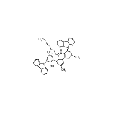 CCOCCCCOc1c(-c2cc(C)cc(-n3c4ccccc4c4ccccc43)c2O)cc(C)cc1-c1cc(C)cc(-n2c3ccccc3c3ccccc32)c1O